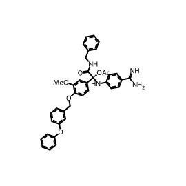 COc1cc([C@](Nc2ccc(C(=N)N)cc2)(OC(C)=O)C(=O)NCc2ccccc2)ccc1OCc1cccc(Oc2ccccc2)c1